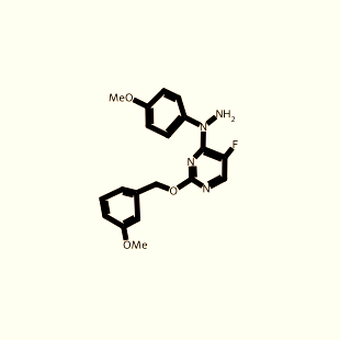 COc1ccc(N(N)c2nc(OCc3cccc(OC)c3)ncc2F)cc1